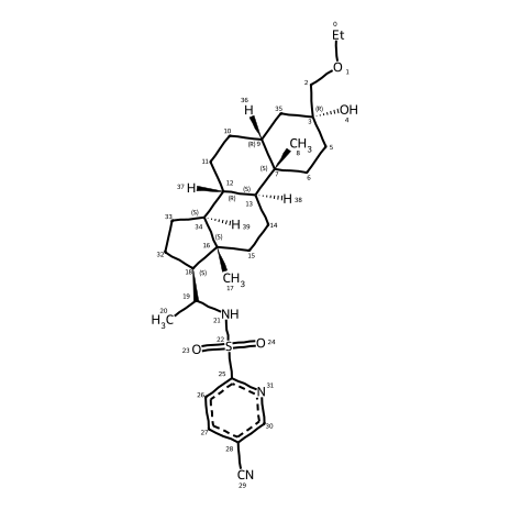 CCOC[C@@]1(O)CC[C@@]2(C)[C@H](CC[C@@H]3[C@@H]2CC[C@]2(C)[C@@H](C(C)NS(=O)(=O)c4ccc(C#N)cn4)CC[C@@H]32)C1